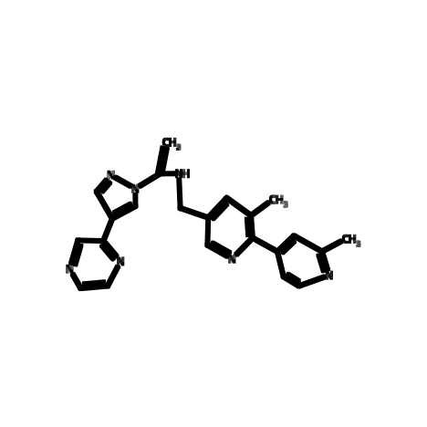 C=C(NCc1cnc(-c2ccnc(C)c2)c(C)c1)n1cc(-c2cnccn2)cn1